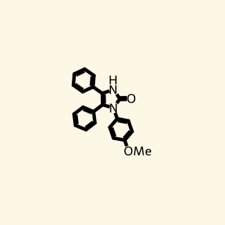 COc1ccc(-n2c(-c3ccccc3)c(-c3ccccc3)[nH]c2=O)cc1